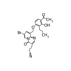 CCCc1c(OCc2cc(Br)cn3c(=O)c(CCC#N)cnc23)ccc(C(C)=O)c1O